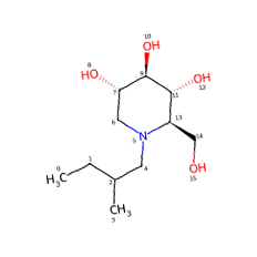 CCC(C)CN1C[C@H](O)[C@@H](O)[C@H](O)[C@H]1CO